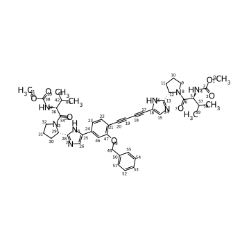 COC(=O)N[C@H](C(=O)N1CCC[C@H]1c1ncc(C#CC#Cc2ccc(-c3cnc([C@@H]4CCCN4C(=O)[C@@H](NC(=O)OC)C(C)C)[nH]3)cc2OCc2ccccc2)[nH]1)C(C)C